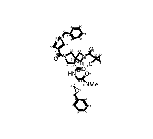 CNC(=O)[C@H](COCc1ccccc1)NC(=O)[C@@H]1CN(C(=O)c2cnn(Cc3ccccc3)c2)CC12CN(C(=O)C1(C(F)(F)F)CC1)C2